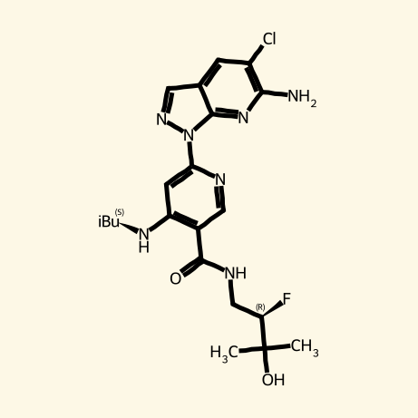 CC[C@H](C)Nc1cc(-n2ncc3cc(Cl)c(N)nc32)ncc1C(=O)NC[C@@H](F)C(C)(C)O